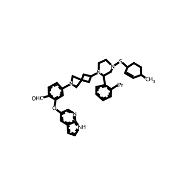 CC1C=CC(SN2CCN(C3CC4(C3)CN(c3ccc(C=O)c(Oc5cnc6[nH]ccc6c5)c3)C4)C(c3ccccc3C(C)C)C2)CC1